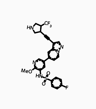 COc1ncc(-c2ccn3ncc(C#CC4CNCC4C(F)(F)F)c3c2)cc1NS(=O)(=O)c1ccc(F)cc1